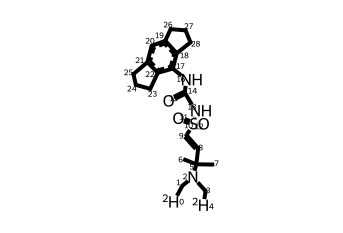 [2H]CN(C[2H])C(C)(C)/C=C/S(=O)(=O)NC(=O)Nc1c2c(cc3c1CCC3)CCC2